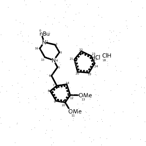 CCCCN1CCN(CCc2ccc(OC)c(OC)c2)CC1.Cl.Cl.c1ccccc1